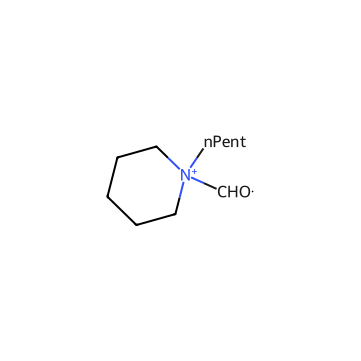 CCCCC[N+]1([C]=O)CCCCC1